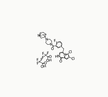 O=C(O)C(F)(F)F.O=C(O)C(F)(F)F.O=C(c1cc(Cc2c[nH]c(=O)c3cc(Cl)c(Cl)n23)ccc1F)N1CCN(C2CN3CCC2CC3)CC1